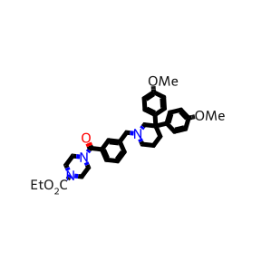 CCOC(=O)N1CCN(C(=O)c2cccc(CN3CCCC(c4ccc(OC)cc4)(c4ccc(OC)cc4)C3)c2)CC1